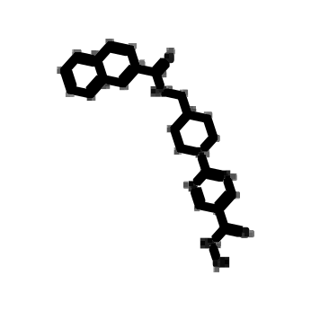 O=C(NO)c1cnc(N2CCC(CNC(=O)c3ccc4ccccc4c3)CC2)nc1